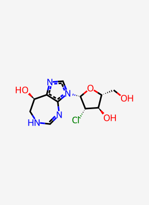 OC[C@H]1O[C@@H](n2cnc3c2N=CNC[C@H]3O)[C@@H](Cl)[C@@H]1O